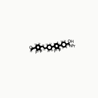 CCCC(O)C1CCC(c2ccc(C3CCC(CCc4ccc(C5CO5)c(F)c4F)CC3)c(F)c2F)CC1